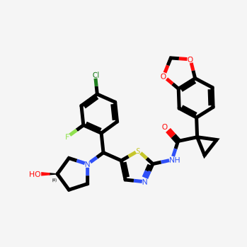 O=C(Nc1ncc(C(c2ccc(Cl)cc2F)N2CC[C@@H](O)C2)s1)C1(c2ccc3c(c2)OCO3)CC1